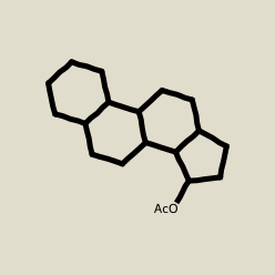 CC(=O)OC1CCC2CCC3C4CCCCC4CCC3C21